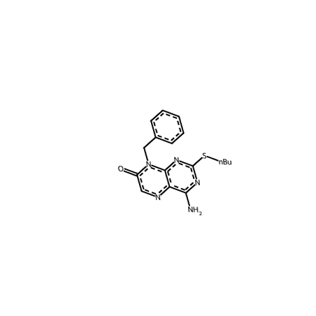 CCCCSc1nc(N)c2ncc(=O)n(Cc3ccccc3)c2n1